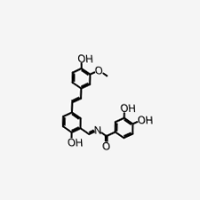 COc1cc(C=Cc2ccc(O)c(C=NC(=O)c3ccc(O)c(O)c3)c2)ccc1O